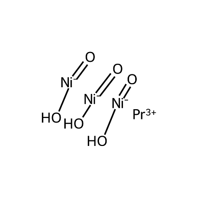 [O]=[Ni-][OH].[O]=[Ni-][OH].[O]=[Ni-][OH].[Pr+3]